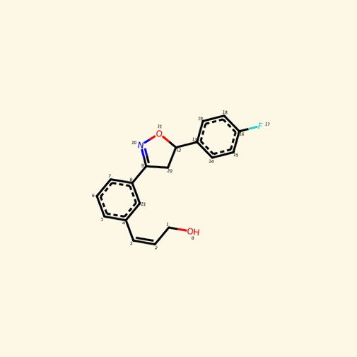 OC/C=C\c1cccc(C2=NOC(c3ccc(F)cc3)C2)c1